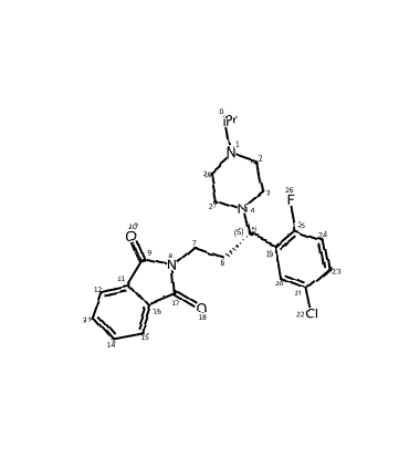 CC(C)N1CCN([C@@H](CCN2C(=O)c3ccccc3C2=O)c2cc(Cl)ccc2F)CC1